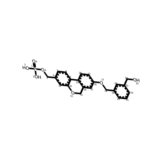 O=P(O)(O)OCc1ccc2c(c1)OCc1cc(OCc3cccc(CO)c3)ccc1-2